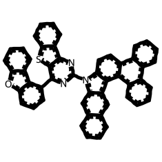 c1ccc2cc3c(cc2c1)c1c2c4ccccc4c4ccccc4c2ccc1n3-c1nc(-c2cccc3oc4ccccc4c23)c2sc3ccccc3c2n1